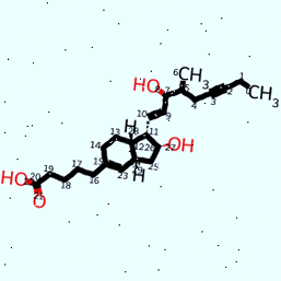 CCC#CCC(C)C(O)C=C[C@H]1[C@H]2CCC(CCCCC(=O)O)=C[C@@H]2C[C@H]1O